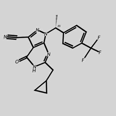 C[C@H](c1ccc(C(F)(F)F)cc1)n1nc(C#N)c2c(=O)[nH]c(CC3CC3)nc21